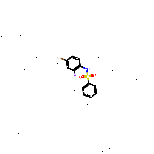 O=S(=O)(Nc1ccc(Br)cc1I)c1ccccc1